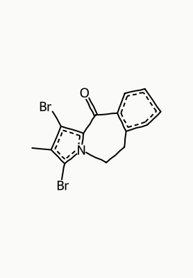 Cc1c(Br)c2n(c1Br)CCc1ccccc1C2=O